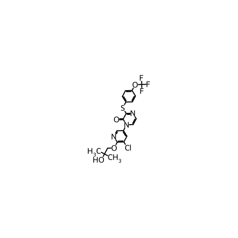 CC(C)(O)COc1ncc(-n2ccnc(Sc3ccc(OC(F)(F)F)cc3)c2=O)cc1Cl